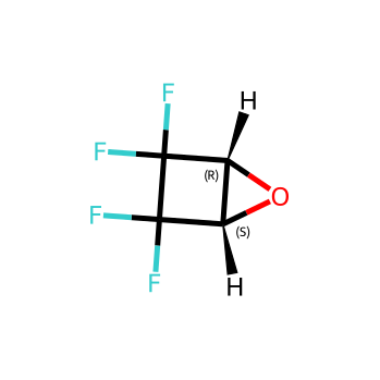 FC1(F)[C@@H]2O[C@@H]2C1(F)F